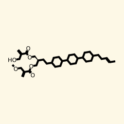 C=C(CO)C(=O)OC[C@@H](CCC1CCC(C2CCC(C3CCC(CC/C=C/C)CC3)CC2)CC1)COC(=O)C(=C)COC